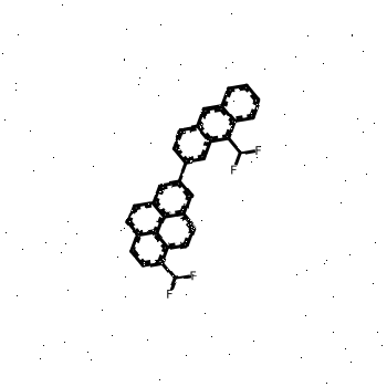 FC(F)c1c2ccccc2cc2ccc(-c3cc4ccc5ccc(C(F)F)c6ccc(c3)c4c56)cc12